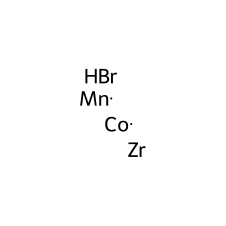 Br.[Co].[Mn].[Zr]